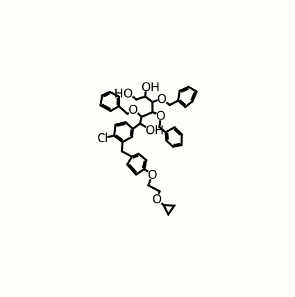 OCC(O)C(OCc1ccccc1)C(OCc1ccccc1)C(OCc1ccccc1)C(O)c1ccc(Cl)c(Cc2ccc(OCCOC3CC3)cc2)c1